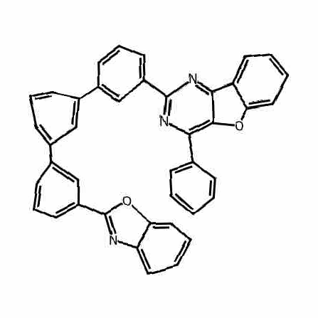 c1ccc(-c2nc(-c3cccc(-c4cccc(-c5cccc(-c6nc7ccccc7o6)c5)c4)c3)nc3c2oc2ccccc23)cc1